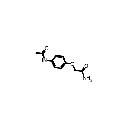 CC(=O)Nc1ccc(OCC(N)=O)cc1